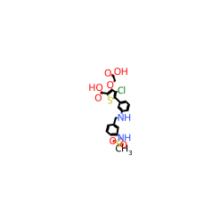 CS(=O)(=O)Nc1cccc(CNc2cccc(-c3sc(C(=O)O)c(OCC(=O)O)c3Cl)c2)c1